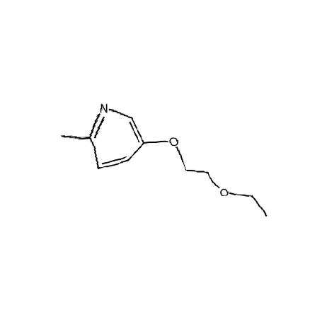 CCOCCOc1ccc(C)nc1